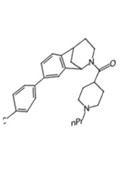 CCCN1CCC(C(=O)N2CCC3CC2c2cc(-c4ccc(C(F)(F)F)cc4)ccc23)CC1